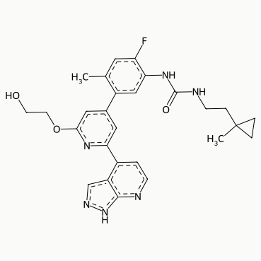 Cc1cc(F)c(NC(=O)NCCC2(C)CC2)cc1-c1cc(OCCO)nc(-c2ccnc3[nH]ncc23)c1